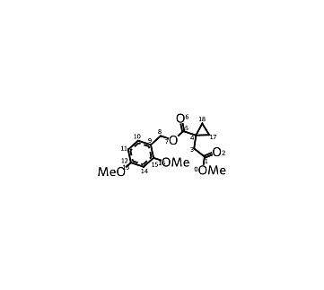 COC(=O)CC1(C(=O)OCc2ccc(OC)cc2OC)CC1